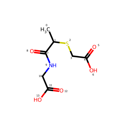 CC(SCC(=O)O)C(=O)NCC(=O)O